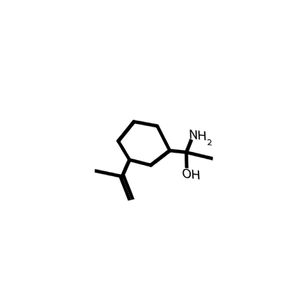 C=C(C)C1CCCC(C(C)(N)O)C1